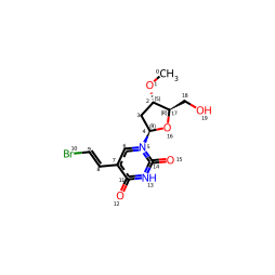 CO[C@H]1C[C@H](n2cc(C=CBr)c(=O)[nH]c2=O)O[C@@H]1CO